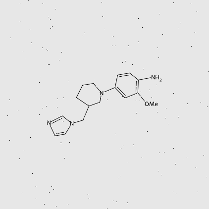 COc1cc(N2CCCC(Cn3ccnc3)C2)ccc1N